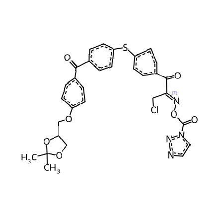 CC1(C)OCC(COc2ccc(C(=O)c3ccc(Sc4ccc(C(=O)/C(CCl)=N/OC(=O)n5ccnn5)cc4)cc3)cc2)O1